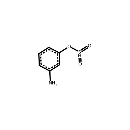 Nc1cccc(O[SH](=O)=O)c1